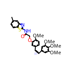 COc1ccc(/C=C\c2cc(OC)c(OC)c(OC)c2)cc1OCC(=O)Nc1nc2cc(C)ccc2s1